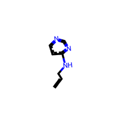 C=CCNc1ccncn1